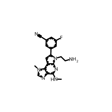 CNc1nc2c(cc(-c3cc(F)cc(C#N)c3)n2CCN)c2c1ncn2C